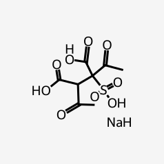 CC(=O)C(C(=O)O)C(C(C)=O)(C(=O)O)S(=O)(=O)O.[NaH]